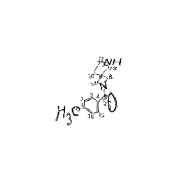 Cc1ccc(C(=O)N2CC3(CCNC3)C2)cc1